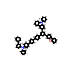 c1ccc(-c2cccc(N(c3ccccc3)c3ccc(-c4ccc(-c5ccc(-c6cc(-c7ccc8c(c7)oc7ccccc78)cc(-c7ccc8c(c7)c7ccccc7n8-c7ccccc7)c6)cc5)cc4)cc3)c2)cc1